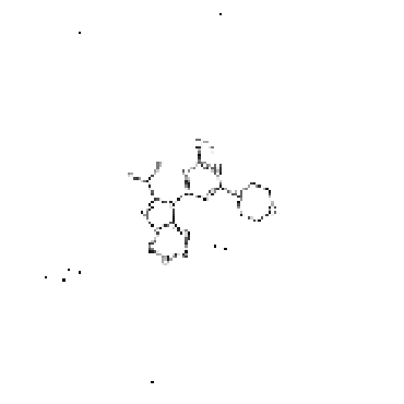 Cc1nc(N2CCOCC2)cc(-n2c(C(F)F)nc3bbbbc32)n1